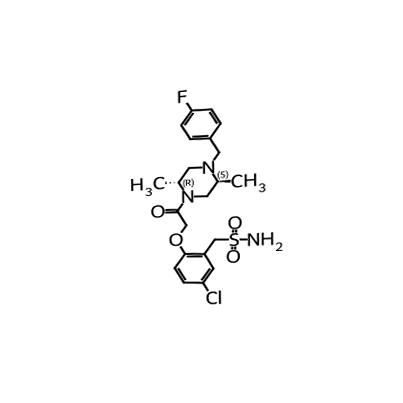 C[C@@H]1CN(Cc2ccc(F)cc2)[C@@H](C)CN1C(=O)COc1ccc(Cl)cc1CS(N)(=O)=O